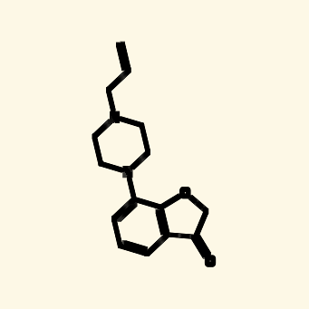 C=CCN1CCN(c2cccc3c2OCC3=O)CC1